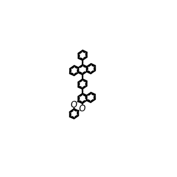 c1ccc(-c2c3ccccc3c(-c3ccc(-c4cc5c(c6ccccc46)Oc4ccccc4O5)cc3)c3ccccc23)cc1